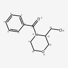 O=C(c1ccccc1)N1CCOCC1CCl